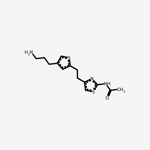 CC(=O)Nc1nc(CCc2cc(CCCN)cs2)cs1